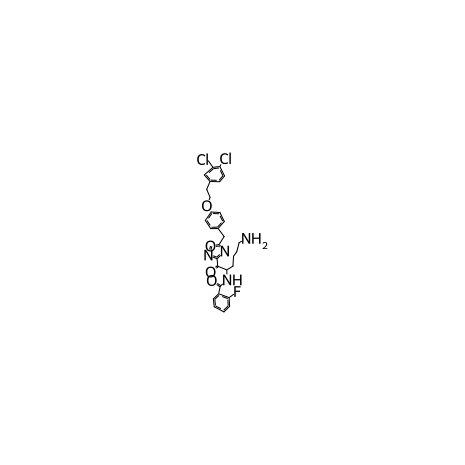 NCCCCC(NC(=O)c1ccccc1F)C(=O)c1noc(Cc2ccc(OCCc3ccc(Cl)c(Cl)c3)cc2)n1